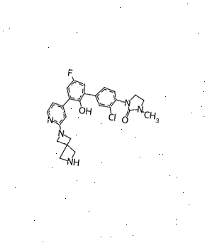 CN1CCN(c2ccc(-c3cc(F)cc(-c4ccnc(N5CC6(CNC6)C5)c4)c3O)cc2Cl)C1=O